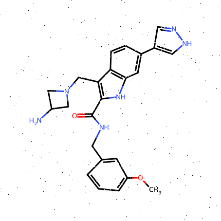 COc1cccc(CNC(=O)c2[nH]c3cc(-c4cn[nH]c4)ccc3c2CN2CC(N)C2)c1